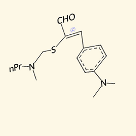 CCCN(C)CS/C(C=O)=C\c1ccc(N(C)C)cc1